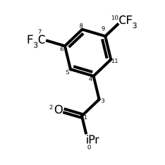 CC(C)C(=O)Cc1cc(C(F)(F)F)cc(C(F)(F)F)c1